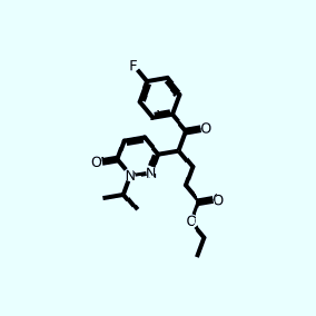 CCOC(=O)CCC(C(=O)c1ccc(F)cc1)c1ccc(=O)n(C(C)C)n1